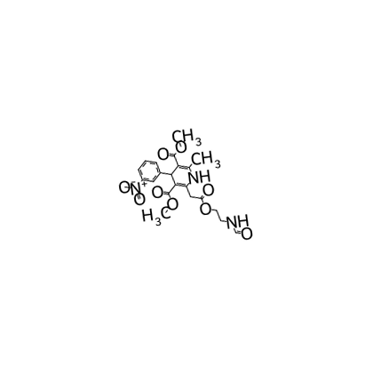 COC(=O)C1=C(C)NC(CC(=O)OCCNC=O)=C(C(=O)OC)C1c1cccc([N+](=O)[O-])c1